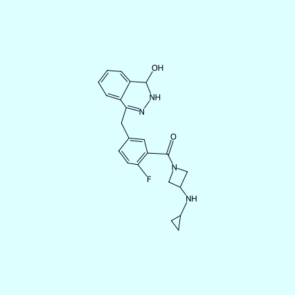 O=C(c1cc(CC2=NNC(O)c3ccccc32)ccc1F)N1CC(NC2CC2)C1